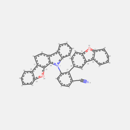 N#Cc1cccc(-n2c3ccccc3c3ccc4c5ccccc5oc4c32)c1-c1ccc2oc3ccccc3c2c1